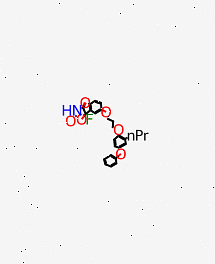 CCCc1cc(Oc2ccccc2)ccc1OCCCOc1cccc(C2(F)OC(=O)NC2=O)c1